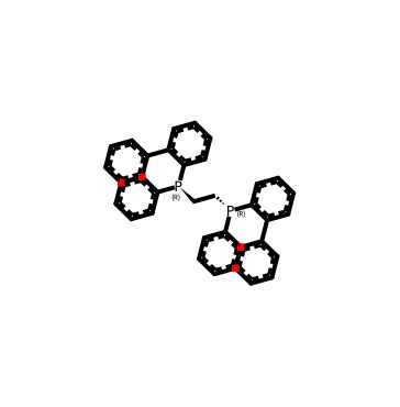 c1ccc(-c2ccccc2[P@@](CC[P@@](c2ccccc2)c2ccccc2-c2ccccc2)c2ccccc2)cc1